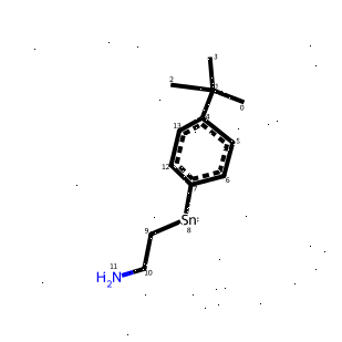 CC(C)(C)c1cc[c]([Sn][CH2]CN)cc1